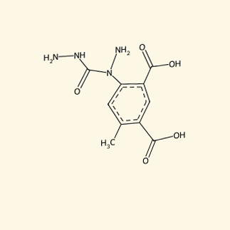 Cc1cc(N(N)C(=O)NN)c(C(=O)O)cc1C(=O)O